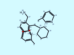 Cc1cccnc1[C@H]1CCC[C@@H](c2ncccc2C)N1Cc1cccnc1CN